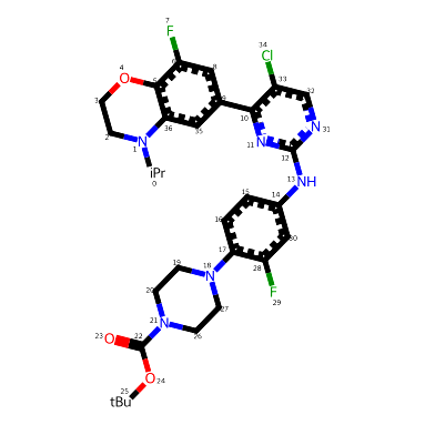 CC(C)N1CCOc2c(F)cc(-c3nc(Nc4ccc(N5CCN(C(=O)OC(C)(C)C)CC5)c(F)c4)ncc3Cl)cc21